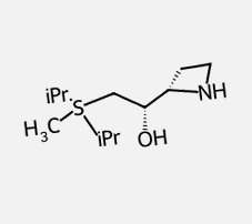 CC(C)S(C)(C[C@@H](O)[C@@H]1CCN1)C(C)C